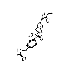 C=CC(=O)NC1CC2CN(S(=O)(=O)c3ccc(CNC(C)=O)cc3)CC2O1